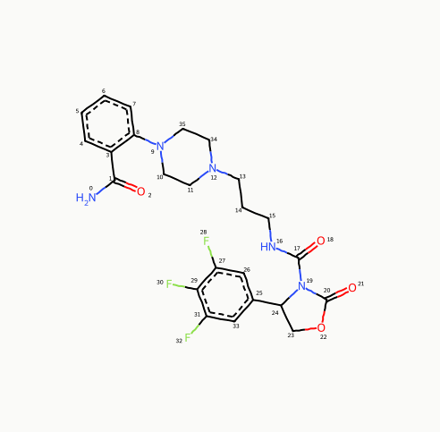 NC(=O)c1ccccc1N1CCN(CCCNC(=O)N2C(=O)OCC2c2cc(F)c(F)c(F)c2)CC1